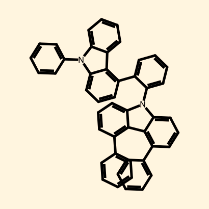 c1ccc(-c2cccc3c2c2c(-c4ccccc4)cccc2n3-c2ccccc2-c2cccc3c2c2ccccc2n3-c2ccccc2)cc1